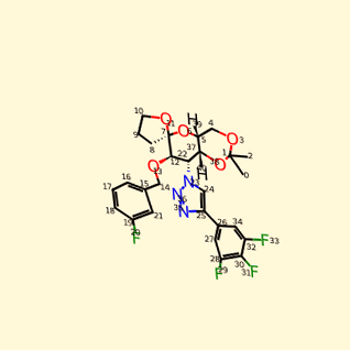 CC1(C)OC[C@H]2O[C@@]3(CCCO3)[C@H](OCc3cccc(F)c3)[C@@H](n3cc(-c4cc(F)c(F)c(F)c4)nn3)[C@H]2O1